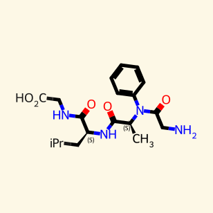 CC(C)C[C@H](NC(=O)[C@H](C)N(C(=O)CN)c1ccccc1)C(=O)NCC(=O)O